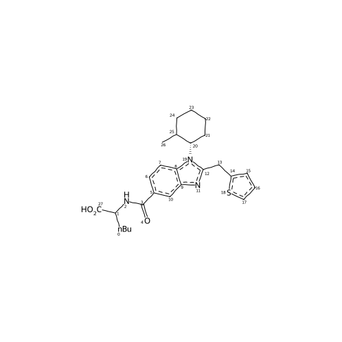 CCCCC(NC(=O)c1ccc2c(c1)nc(Cc1cccs1)n2[C@H]1CCCCC1C)C(=O)O